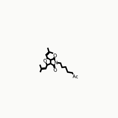 CC(=O)CCCCCN1C(=O)C2C(C=C(C)C)OC(C=C(C)C)C2C1=O